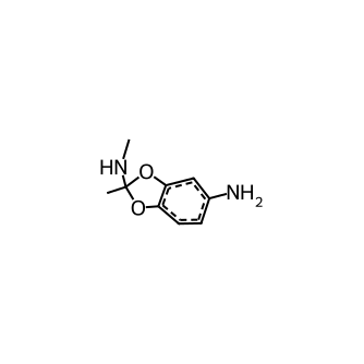 CNC1(C)Oc2ccc(N)cc2O1